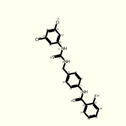 O=C(Nc1ccc(CNC(=S)Nc2cc(Cl)cc(Cl)c2)cc1)c1ccccc1F